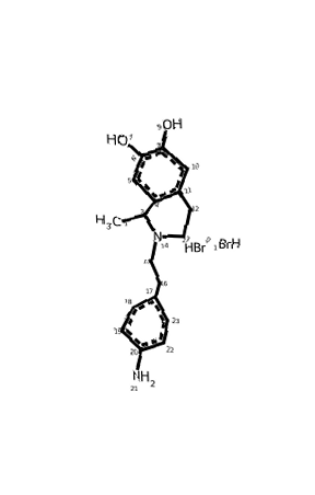 Br.Br.CC1c2cc(O)c(O)cc2CCN1CCc1ccc(N)cc1